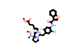 COC(=O)CCc1cnc([C@@]2(N(C)OC)CCCN2C(=O)Cc2cc(Cl)c(NC(=O)c3coc4ccccc34)cc2F)s1